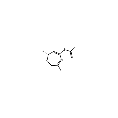 C=C(C)SC1=C[C@@H](C)SCC(C)=N1